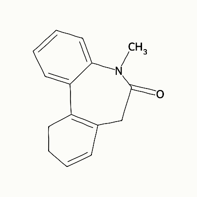 CN1C(=O)CC2=C(CCC=C2)c2ccccc21